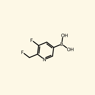 OB(O)c1cnc(CF)c(F)c1